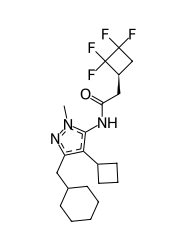 Cn1nc(CC2CCCCC2)c(C2CCC2)c1NC(=O)C[C@@H]1CC(F)(F)C1(F)F